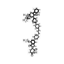 COc1cc(N2CCN(CCCC3CCN(c4ncc([C@@H]5c6[nH]c7ccccc7c6C[C@@H](C)N5CC(C)(C)F)cn4)CC3)CC2)cc2c1C(=O)N(C1CCC(=O)NC1=O)C2